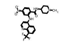 CN1CCC(NC(=O)c2ccc([N+](=O)[O-])cc2Nc2ccnc3c(C(F)(F)F)cccc23)CC1